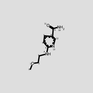 COCCNc1ccc(C(N)=O)cn1